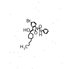 CCCCC1CCC(C(O)=C2C(=O)N(C(=O)Nc3ccccc3)c3ccc(Br)cc32)CC1